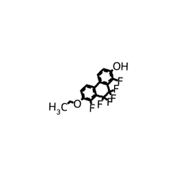 CCOc1ccc2c(c1F)C(F)(F)C(F)(F)c1c-2ccc(O)c1F